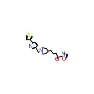 O=C(CCCC1CCN(Cc2ccc(-c3ccsc3)nc2)CC1)c1ncco1